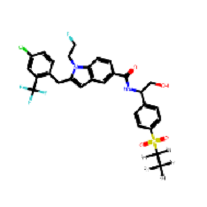 [2H]C([2H])([2H])C([2H])([2H])S(=O)(=O)c1ccc(C(CO)NC(=O)c2ccc3c(c2)cc(Cc2ccc(Cl)cc2C(F)(F)F)n3CCF)cc1